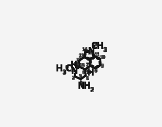 CN1C[C@@H](N)C[C@@H]2c3cccc4c3c(cn4C)C[C@H]21